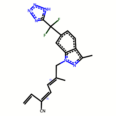 C=C/C(C#N)=C\C=C(/C)Cn1nc(C)c2ccc(C(F)(F)c3nnn[nH]3)cc21